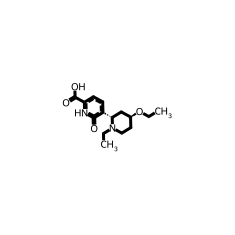 CCO[C@H]1CCN(CC)[C@H](c2ccc(C(=O)O)[nH]c2=O)C1